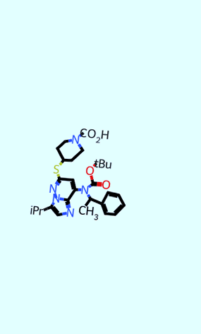 CC(C)c1cnc2c(N(C(=O)OC(C)(C)C)C(C)c3ccccc3)cc(SC3CCN(C(=O)O)CC3)nn12